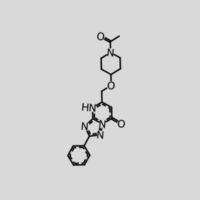 CC(=O)N1CCC(OCc2cc(=O)n3nc(-c4ccccc4)nc3[nH]2)CC1